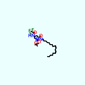 CCCCC/C=C\C/C=C\CCCCCCCCNC(=O)[C@@H]1C[C@H](NC(=O)C(F)(F)F)CN1C(=O)OC(C)(C)C